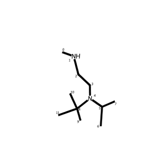 CNCCN(C(C)C)C(C)(C)C